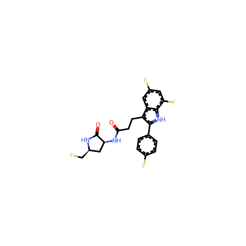 O=C(CCc1c(-c2ccc(F)cc2)[nH]c2c(F)cc(F)cc12)N[C@H]1C[C@@H](CF)NC1=O